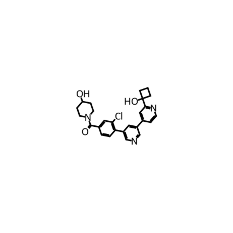 O=C(c1ccc(-c2cncc(-c3ccnc(C4(O)CCC4)c3)c2)c(Cl)c1)N1CCC(O)CC1